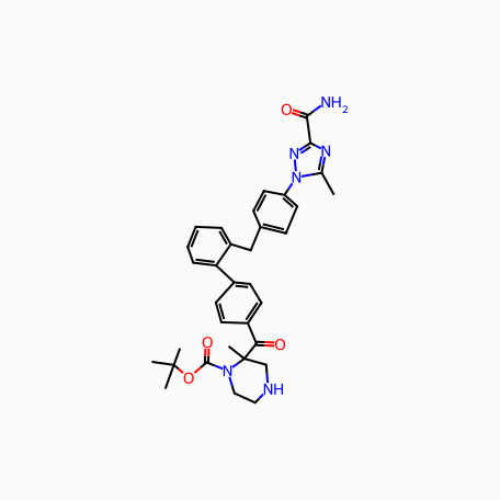 Cc1nc(C(N)=O)nn1-c1ccc(Cc2ccccc2-c2ccc(C(=O)C3(C)CNCCN3C(=O)OC(C)(C)C)cc2)cc1